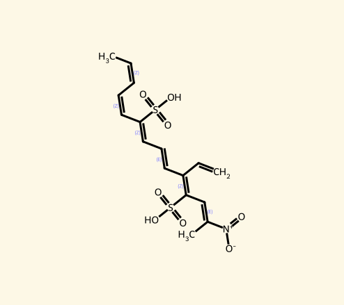 C=CC(/C=C/C=C(/C=C\C=C/C)S(=O)(=O)O)=C(\C=C(/C)[N+](=O)[O-])S(=O)(=O)O